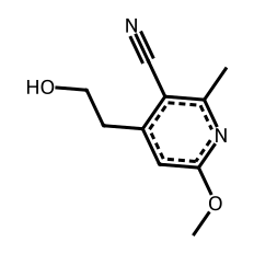 COc1cc(CCO)c(C#N)c(C)n1